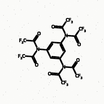 O=C(N(C(=O)C(F)(F)F)c1cc(N(C(=O)C(F)(F)F)C(=O)C(F)(F)F)cc(N(C(=O)C(F)(F)F)C(=O)C(F)(F)F)c1)C(F)(F)F